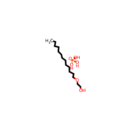 CCCCCCCCCCCCCOCCO.O=P(O)(O)O